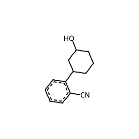 N#Cc1ccccc1C1CCCC(O)C1